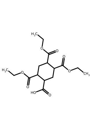 CCOC(=O)C1CC(C(=O)OCC)C(C(=O)OCC)CC1C(=O)O